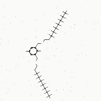 Cc1cc(CSCCC(F)(F)C(F)(F)C(F)(F)C(F)(F)C(F)(F)C(F)(F)C(F)(F)C(F)(F)F)c(O)c(CSCCC(F)(F)C(F)(F)C(F)(F)C(F)(F)C(F)(F)C(F)(F)C(F)(F)C(F)(F)F)c1